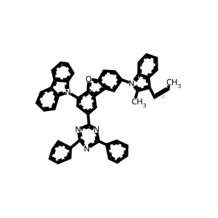 C/C=C\c1c(C)n(-c2ccc3oc4c(-n5c6ccccc6c6ccccc65)cc(-c5nc(-c6ccccc6)nc(-c6ccccc6)n5)cc4c3c2)c2ccccc12